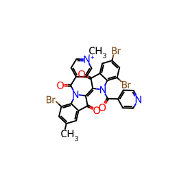 Cc1cc(Br)c2c(c1)C(=O)/C(=C1/C(=O)c3cc(Br)cc(Br)c3N1C(=O)c1ccncc1)N2C(=O)c1cc[n+](C)cc1